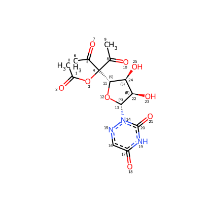 CC(=O)OC(C(C)=O)(C(C)=O)[C@H]1O[C@@H](n2ncc(=O)[nH]c2=O)[C@H](O)[C@@H]1O